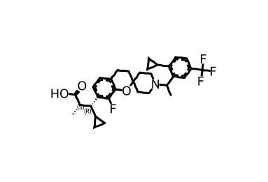 CC(c1cc(C(F)(F)F)ccc1C1CC1)N1CCC2(CCc3ccc([C@H](C4CC4)[C@H](C)C(=O)O)c(F)c3O2)CC1